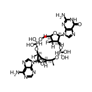 C[C@@H]1O[PH](O)(O)O[C@@H]2[C@H](F)[C@@H](CO[PH](O)(O)O[C@@H]3[C@H](O)[C@@H]1O[C@H]3n1cnc3c(N)ncnc31)O[C@H]2n1cnc2c(=O)[nH]c(N)nc21